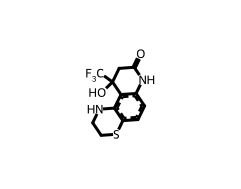 O=C1CC(O)(C(F)(F)F)c2c(ccc3c2NCCS3)N1